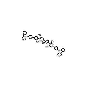 N#Cc1cc(-c2ccc(-n3c4ccccc4c4ccccc43)cc2)cc(C#N)c1-c1ccc2c(n1)oc1nc(-c3c(C#N)cc(-c4ccc(-n5c6ccccc6c6ccccc65)cc4)cc3C#N)ccc12